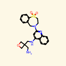 NCC1(CNc2cc(N3CCS(=O)(=O)c4ccccc4C3)nc3ccccc23)COC1